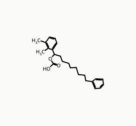 Cc1cccc(C(CCCCCCCCc2ccccc2)OC(=O)O)c1C